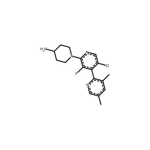 Cc1cnc(-c2c(Cl)cnc(N3CCC(N)CC3)c2F)c(C)c1